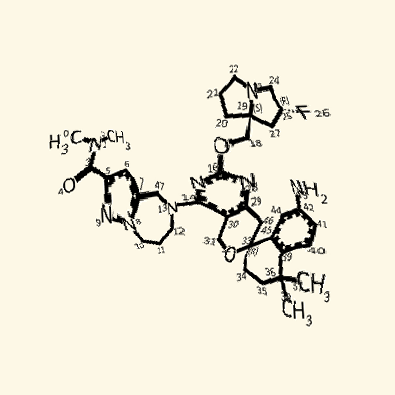 CN(C)C(=O)c1cc2n(n1)CCCN(c1nc(OC[C@@]34CCCN3C[C@H](F)C4)nc3c1CO[C@]1(CCC(C)(C)c4ccc(N)cc41)C3)C2